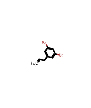 C=CCc1cc(Br)cc(Br)c1